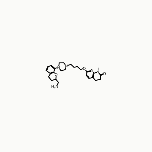 NCC1CCc2cccc(N3CCN(CCCCOc4ccc5c(n4)NC(=O)CC5)CC3)c2O1